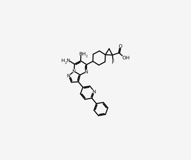 Bc1c(C2CCC3(CC2)CC3(F)C(=O)O)nc2c(-c3ccc(-c4ccccc4)nc3)cnn2c1N